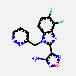 Nc1nonc1-c1nc2c(F)c(F)ccc2n1Cc1cccnn1